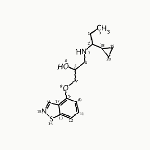 CCC(NCC(O)COc1cccc2sncc12)C1CC1